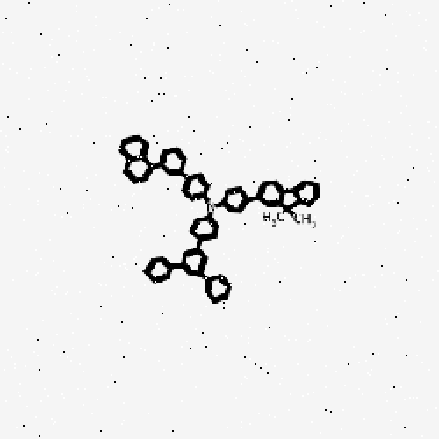 CC1(C)c2ccccc2-c2ccc(-c3ccc(N(c4ccc(-c5cc(-c6ccccc6)cc(-c6ccccc6)c5)cc4)c4ccc(-c5cccc(-c6cccc7ccccc67)c5)cc4)cc3)cc21